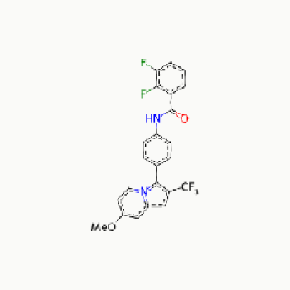 COc1ccn2c(-c3ccc(NC(=O)c4cccc(F)c4F)cc3)c(C(F)(F)F)cc2c1